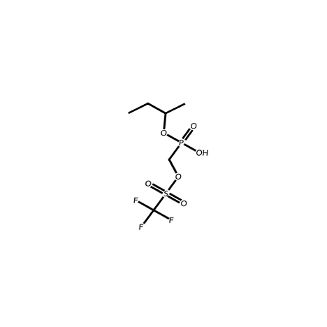 CCC(C)OP(=O)(O)COS(=O)(=O)C(F)(F)F